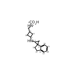 O=C(O)NCC1CC(NC2CC23CCc2ccccc23)C1